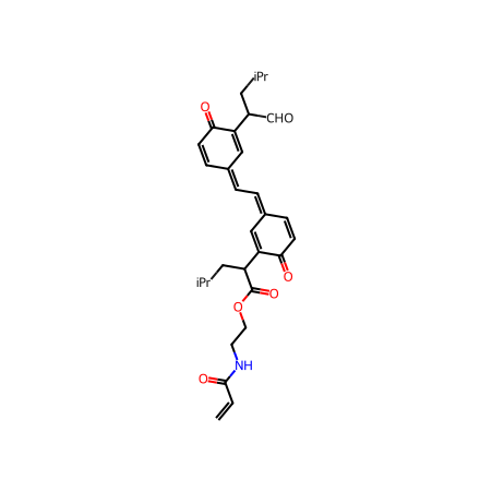 C=CC(=O)NCCOC(=O)C(CC(C)C)C1=C/C(=C\C=C2\C=CC(=O)C(C(C=O)CC(C)C)=C2)C=CC1=O